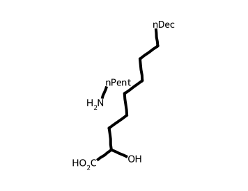 CCCCCCCCCCCCCCCCC(O)C(=O)O.CCCCCN